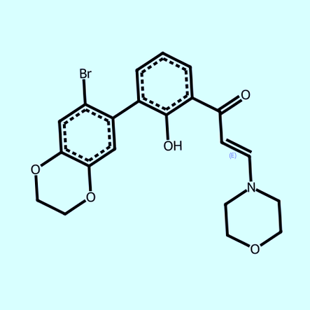 O=C(/C=C/N1CCOCC1)c1cccc(-c2cc3c(cc2Br)OCCO3)c1O